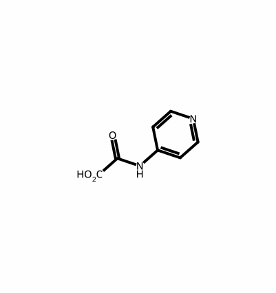 O=C(O)C(=O)Nc1ccncc1